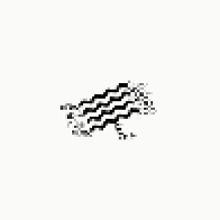 CCCCCCCCCCCCCCCCCC(=O)[O-].CCCCCCCCCCCCCCCCCC(=O)[O-].CCCCCCCCCCCCCCCCCC(=O)[O-].CCCCCCCCCCCCCCCCCC(=O)[O-].[K+].[K+].[Zn+2]